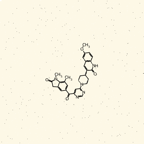 COc1ccc2[nH]c(=O)c(C3CCN(c4cc(C(=O)c5cc(C)c6c(c5)CC(=O)N6C)ncn4)CC3)cc2c1